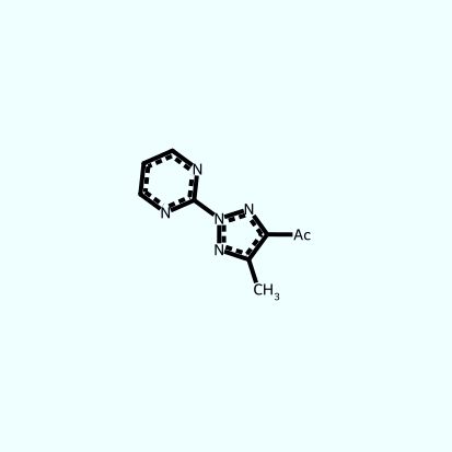 CC(=O)c1nn(-c2ncccn2)nc1C